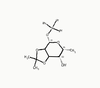 CC(C)[Si](O[C@@H]1O[C@H](C)[C@H](O)C2OC(C)(C)OC21)(C(C)C)C(C)C